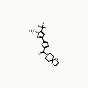 Cn1nc(-c2ccc(C(=O)N3CCC4(CC3)OCCO4)s2)cc1C(F)(F)F